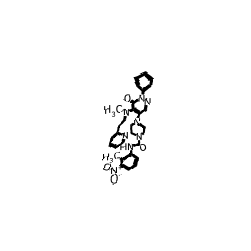 Cc1c(NC(=O)N2CCN(c3cnn(-c4ccccc4)c(=O)c3N(C)CCc3ccccn3)CC2)cccc1[N+](=O)[O-]